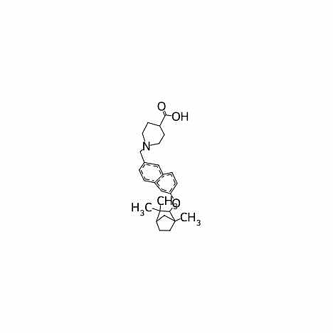 CC12CCC(C1)C(C)(C)C2Oc1ccc2cc(CN3CCC(C(=O)O)CC3)ccc2c1